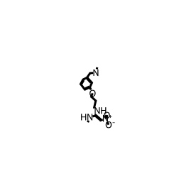 CN/C(=C/[N+](=O)[O-])NCCCOc1cccc(CN(C)C)c1